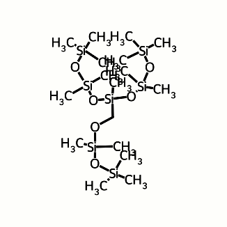 C[Si](C)(C)O[Si](C)(C)OC[Si](C)(O[Si](C)(C)O[Si](C)(C)C)O[Si](C)(C)O[Si](C)(C)C